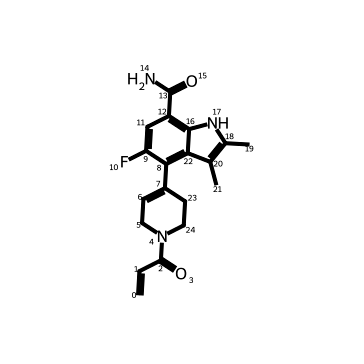 C=CC(=O)N1CC=C(c2c(F)cc(C(N)=O)c3[nH]c(C)c(C)c23)CC1